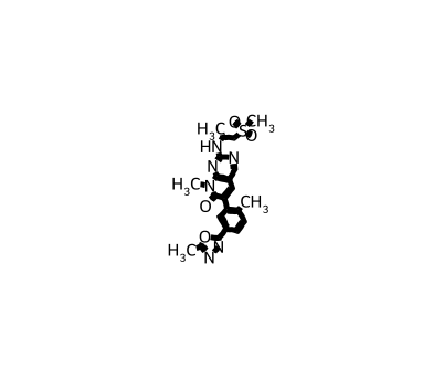 Cc1nnc(-c2ccc(C)c(-c3cc4cnc(NC(C)CS(C)(=O)=O)nc4n(C)c3=O)c2)o1